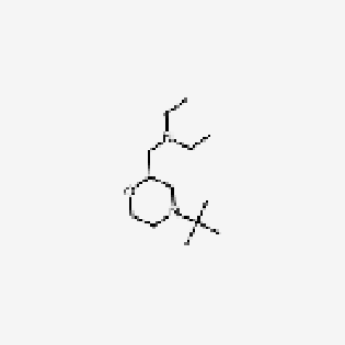 CCN(CC)CC1CN(C(C)(C)C)CCO1